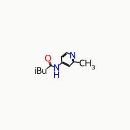 CCC(C)C(=O)Nc1ccnc(C)c1